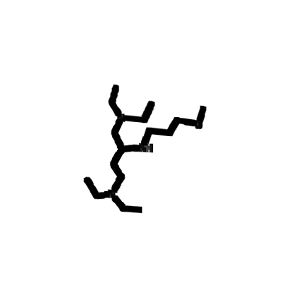 CCN(CC)CCC(CN(CC)CC)NCCCOC